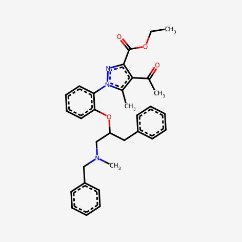 CCOC(=O)c1nn(-c2ccccc2OC(Cc2ccccc2)CN(C)Cc2ccccc2)c(C)c1C(C)=O